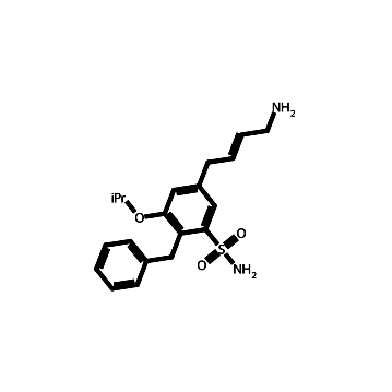 CC(C)Oc1cc(CC=CCN)cc(S(N)(=O)=O)c1Cc1ccccc1